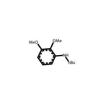 CCCCNc1cccc(OC)c1OC